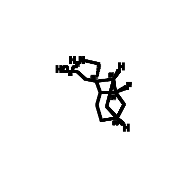 NC[C@@]1(CC(=O)O)C2CC[C@@H]3C[C@H]1[C@]2(F)C3